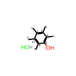 Cc1c(C)c(C)c(O)c(C)c1C.Cl